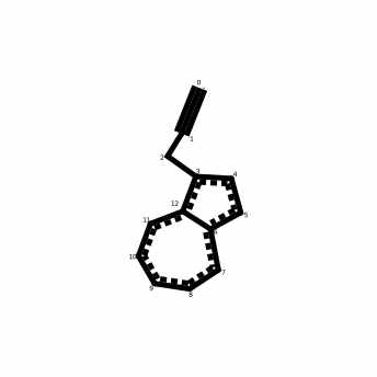 [C]#CCc1ccc2cccccc1-2